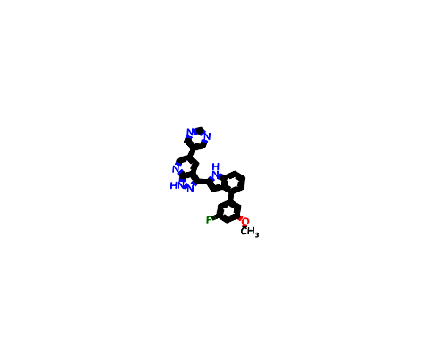 COc1cc(F)cc(-c2cccc3[nH]c(-c4n[nH]c5ncc(-c6cncnc6)cc45)cc23)c1